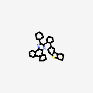 c1ccc(-c2nc3c4ccccc4c4ccccc4c3nc2-c2ccccc2-c2ccc3sc4ccccc4c3c2)cc1